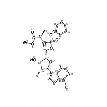 CC(C)OC(=O)[C@@H](C)NP(=O)(OC[C@H]1OC(n2ccc3c(Cl)ncnc32)[C@H](F)[C@@H]1O)Oc1ccccc1